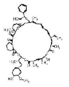 C=C[C@@H]1/C=C/C=C/C=C(\C)C(O[C@@H](CO)c2ccccc2)C[C@@H]2CC[C@@H](C)[C@@](O)(O2)C(=O)C(=O)N2CCCC[C@H]2C(=O)O[C@H]([C@H](C)C[C@@H]2CC[C@@H](O)[C@H](OC)C2)CC(=O)[C@H](C)/C=C(\C)[C@@H](O)CC(=O)[C@H](C)C1